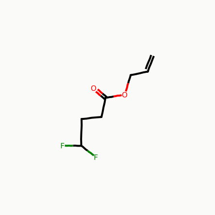 C=CCOC(=O)CCC(F)F